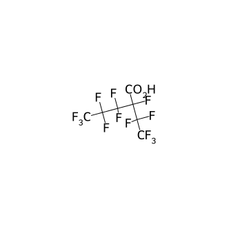 O=C(O)C(F)(C(F)(F)C(F)(F)F)C(F)(F)C(F)(F)C(F)(F)F